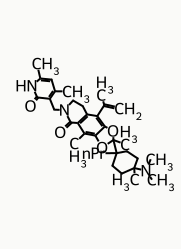 C=C(C)c1c2c(c(C)c3c1OC(C)(C1(CCC)CCC(C)(N(C)C)CC1)O3)C(=O)N(Cc1c(C)cc(C)[nH]c1=O)CC2